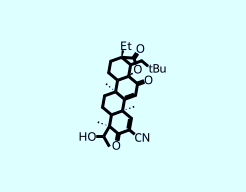 CC[C@@]12CCC3[C@](OC1=O)(C(=O)C=C1[C@@]4(C)C=C(C#N)C(=O)[C@@](C)(C(C)O)C4CC[C@]13C)C2CC(C)(C)C